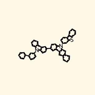 c1ccc(-c2cccc(-n3c4ccccc4c4cc(-c5ccc6c(c5)c5cc7ccccc7cc5n6-c5ccc6c(c5)sc5ccccc56)ccc43)c2)cc1